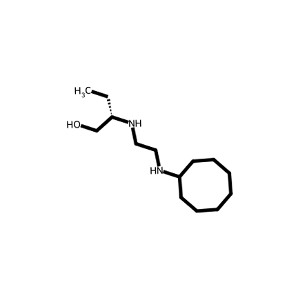 CC[C@@H](CO)NCCNC1CCCCCCC1